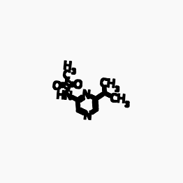 CC(C)c1cncc(NS(C)(=O)=O)n1